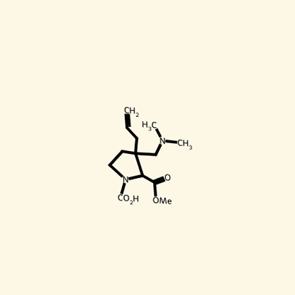 C=CCC1(CN(C)C)CCN(C(=O)O)C1C(=O)OC